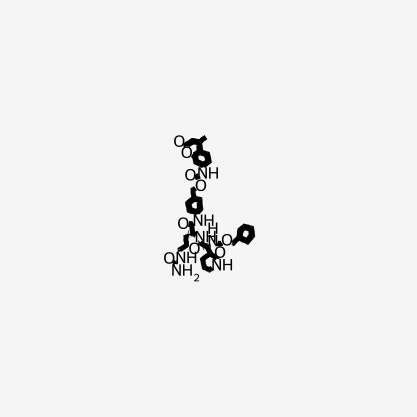 Cc1cc(=O)oc2cc(NC(=O)OCc3ccc(NC(=O)[C@H](CCCNC(N)=O)NC(=O)[C@@H](NC(=O)OCc4ccccc4)C4CCCNC4)cc3)ccc12